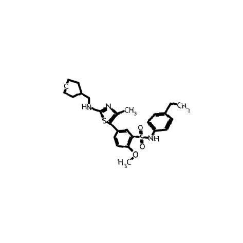 CCc1ccc(NS(=O)(=O)c2cc(-c3sc(NCC4CCCCC4)nc3C)ccc2OC)cc1